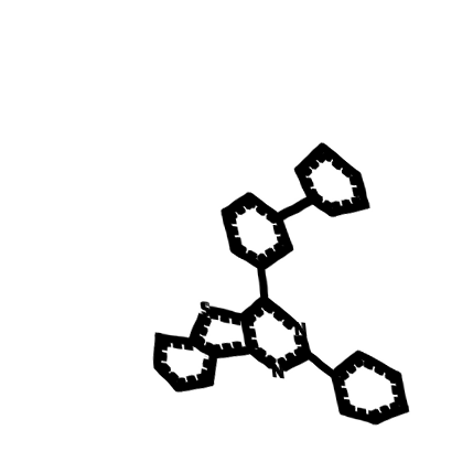 c1ccc(-c2cccc(-c3nc(-c4ccccc4)nc4c3sc3ccccc34)c2)cc1